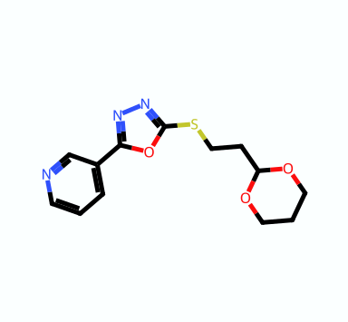 c1cncc(-c2nnc(SCCC3OCCCO3)o2)c1